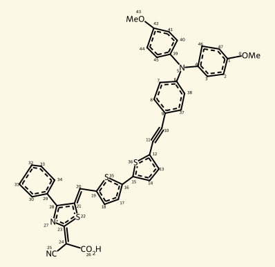 COc1ccc(N(c2ccc(C#Cc3ccc(-c4ccc(C=c5s/c(=C(/C#N)C(=O)O)nc5-c5ccccc5)s4)s3)cc2)c2ccc(OC)cc2)cc1